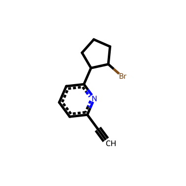 C#Cc1cccc(C2CCCC2Br)n1